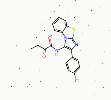 CCC(=O)C(=O)Nc1c(-c2ccc(Cl)cc2)nc2sc3ccccc3n12